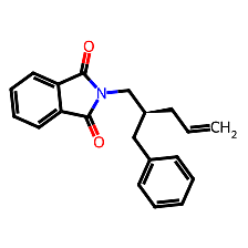 C=CC[C@@H](Cc1ccccc1)CN1C(=O)c2ccccc2C1=O